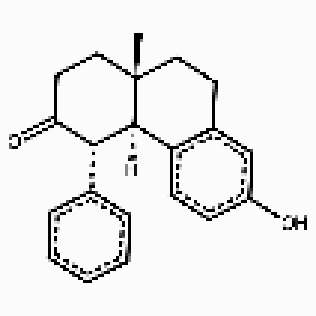 C[C@]12CCC(=O)[C@@H](c3ccccc3)[C@@H]1c1ccc(O)cc1CC2